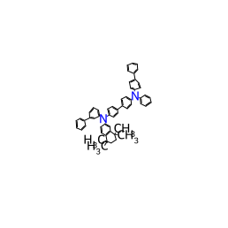 CC1(C)CCC(C)(C)c2cc(N(c3ccc(-c4ccc(N(c5ccccc5)c5ccc(-c6ccccc6)cc5)cc4)cc3)c3cccc(-c4ccccc4)c3)ccc21